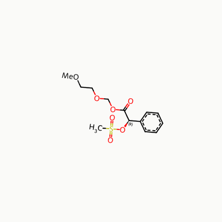 COCCOCOC(=O)[C@H](OS(C)(=O)=O)c1ccccc1